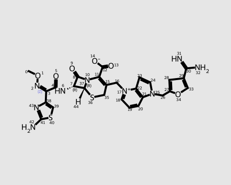 CO/N=C(\C(=O)N[C@@H]1C(=O)N2C(C(=O)[O-])=C(C[n+]3cccc4c3ccn4Cc3cc(C(=N)N)co3)CS[C@H]12)c1csc(N)n1